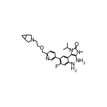 CC(C)n1c(-c2cc(-c3ccc(COCCN4CC5CC5C4)nc3)c(F)cc2N)c(N)n(C)c1=O